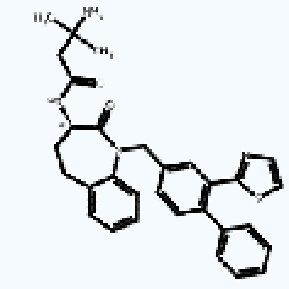 CC(C)(N)CC(=O)N[C@@H]1CCc2ccccc2N(Cc2ccc(-c3ccccc3)c(-c3nccs3)c2)C1=O